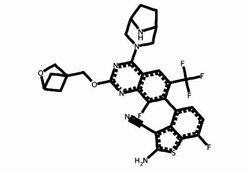 N#Cc1c(N)sc2c(F)ccc(-c3c(C(F)(F)F)cc4c(N5CC6CCC(C5)N6)nc(OCC56COC(C5)C6)nc4c3F)c12